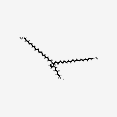 CCCCCCCCCCCCCCCCCCCc1n(CCCCCCCCCCCCCCCCCC)cc[n+]1CCCCCC